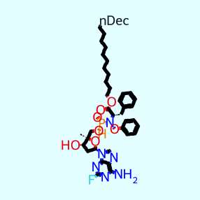 CCCCCCCCCCCCCCCCCCCCCOC(=O)[C@H](Cc1ccccc1)N(Oc1ccccc1)[PH](=O)OC[C@@]1(C)O[C@@H](n2cnc3c(N)nc(F)nc32)C[C@@H]1O